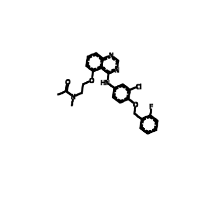 CC(=O)N(C)CCOc1cccc2ncnc(Nc3ccc(OCc4ccccc4F)c(Cl)c3)c12